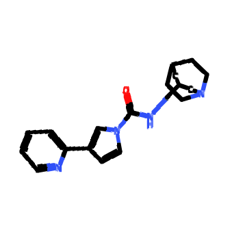 O=C(NC1CC2CCN(CC2)C1)n1ccc(-c2ccccn2)c1